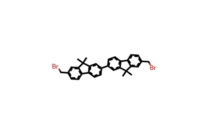 CC1(C)c2cc(CBr)ccc2-c2ccc(-c3ccc4c(c3)C(C)(C)c3cc(CBr)ccc3-4)cc21